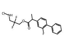 CC(C(=O)OCC(F)(F)CNCl)c1ccc(-c2ccccc2)c(F)c1